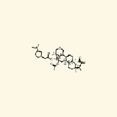 CC(=O)O[C@@H]1C[C@@]23COC[C@](C)([C@@H]2CC[C@H]2C3=CC[C@@]3(C)[C@H](C(=O)O)[C@@](C)([C@H](C)C(C)C)CC[C@]23C)[C@H]1OC(=O)CN1CCC(N(C)C)C1